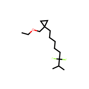 CCOCC1(CCCCCC(F)(F)C(C)C)CC1